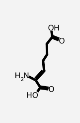 NC(=CCCCC(=O)O)C(=O)O